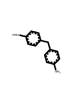 CCCCCCc1ccc(Cc2ccc(N)cc2)cc1